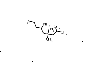 CC(C)C[Si](C)(C)OC(N)CCN